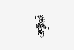 Cc1nnc(N[C@H](C)c2cccc(C(F)(F)CO)c2F)c2cc3c(cc12)N(C)C(=O)C3(C)C